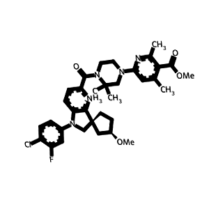 COC(=O)c1c(C)cc(N2CCN(C(=O)c3ccc4c(n3)[C@@]3(CC[C@@H](OC)C3)CN4c3ccc(Cl)c(F)c3)C(C)(C)C2)nc1C